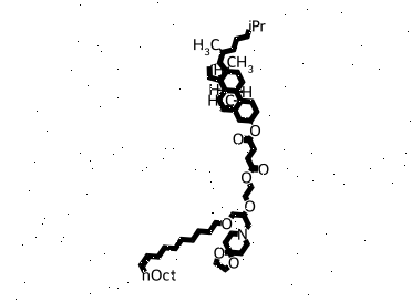 CCCCCCCC/C=C\CCCCCCCCOCC(CN1CCC2(CC1)OCCO2)OCCOC(=O)CCC(=O)O[C@H]1CC[C@@]2(C)C(=CC[C@H]3[C@@H]4CC[C@H]([C@H](C)CCCC(C)C)[C@@]4(C)CC[C@@H]32)C1